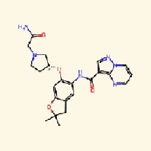 CC1(C)Cc2cc(NC(=O)c3cnn4cccnc34)c(O[C@@H]3CCN(CC(N)=O)C3)cc2O1